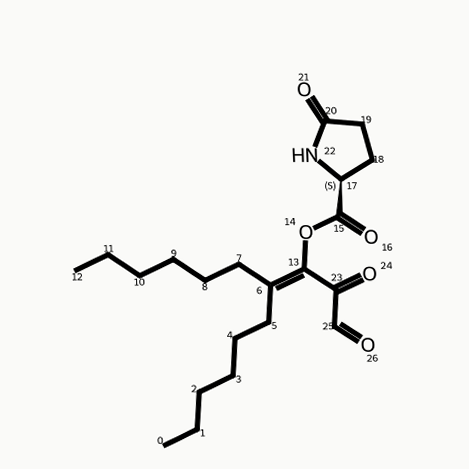 CCCCCCC(CCCCCC)=C(OC(=O)[C@@H]1CCC(=O)N1)C(=O)C=O